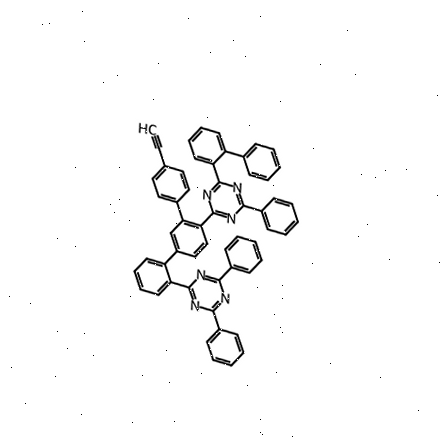 C#Cc1ccc(-c2cc(-c3ccccc3-c3nc(-c4ccccc4)nc(-c4ccccc4)n3)ccc2-c2nc(-c3ccccc3)nc(-c3ccccc3-c3ccccc3)n2)cc1